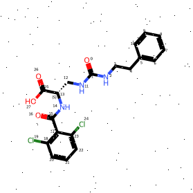 O=C(NCCc1ccccc1)NC[C@H](NC(=O)c1c(Cl)cccc1Cl)C(=O)O